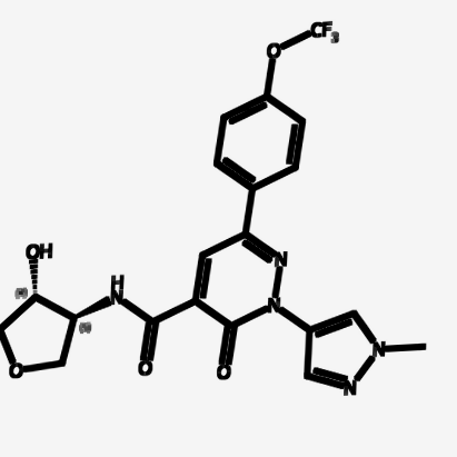 Cn1cc(-n2nc(-c3ccc(OC(F)(F)F)cc3)cc(C(=O)N[C@H]3COC[C@@H]3O)c2=O)cn1